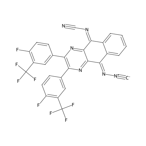 [C-]#[N+]/N=C1\c2ccccc2/C(=N/C#N)c2nc(-c3ccc(F)c(C(F)(F)F)c3)c(-c3ccc(F)c(C(F)(F)F)c3)nc21